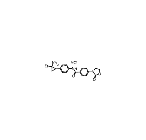 CCC1(N)CC1c1ccc(NC(=O)c2ccc(N3CCOC3=O)cc2)cc1.Cl